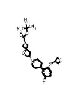 CC(C)(C)OC(=O)N1CC2(C[C@H](N3CCC(c4cc(F)ccc4OC4COC4)CC3)CO2)C1